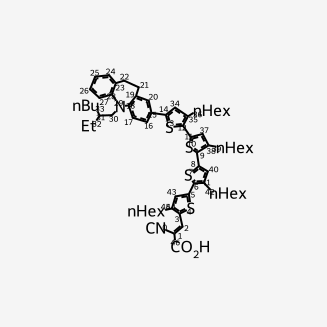 [C-]#[N+]/C(=C\c1sc(-c2sc(-c3sc(-c4sc(-c5ccc6c(c5)CCc5ccccc5N6CC(CC)CCCC)cc4CCCCCC)cc3CCCCCC)cc2CCCCCC)cc1CCCCCC)C(=O)O